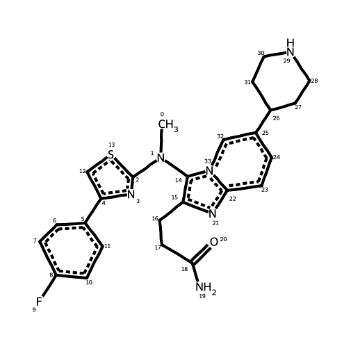 CN(c1nc(-c2ccc(F)cc2)cs1)c1c(CCC(N)=O)nc2ccc(C3CCNCC3)cn12